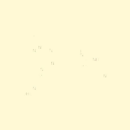 O=CN1CC2CN(c3nc(-c4ccc(NC(=O)Nc5ccncc5)cc4)nc4c3cnn4CC(F)(F)F)CC(C1)O2